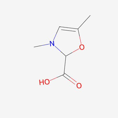 CC1=CN(C)C(C(=O)O)O1